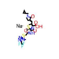 Cn1c(SCC(=O)N[C@@H]2C(=O)N3C(C(=O)O)=C(C=C4CCN(CC5CC5)C4=O)CS[C@H]23)nnc1C(F)(F)F.[Na]